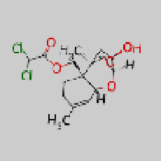 CC1=C[C@H]2O[C@@H]3[C@H](O)C[C@](C)([C@@]2(COC(=O)C(Cl)Cl)CC1)[C@]31CO1